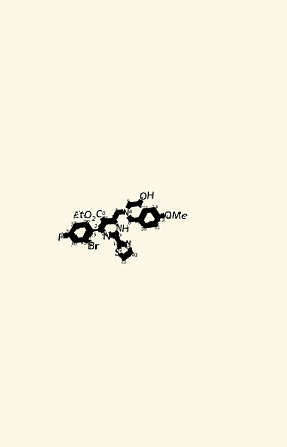 CCOC(=O)C1=C(CN(CCO)Cc2ccc(OC)cc2)NC(c2nccs2)=N[C@H]1c1ccc(F)cc1Br